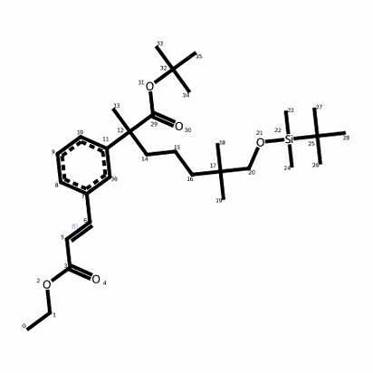 CCOC(=O)/C=C/c1cccc(C(C)(CCCC(C)(C)CO[Si](C)(C)C(C)(C)C)C(=O)OC(C)(C)C)c1